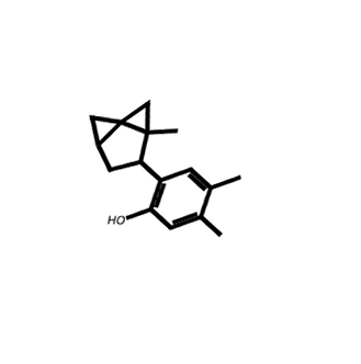 Cc1cc(O)c(C2CC3CC34CC24C)cc1C